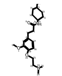 COc1cc(CCC(=O)NC2CCC(C)CC2)ccc1OCCN(C)C